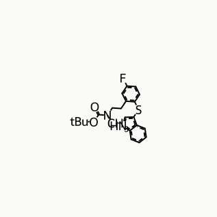 CN(CCc1cc(F)ccc1Sc1c[nH]c2ccccc12)C(=O)OC(C)(C)C